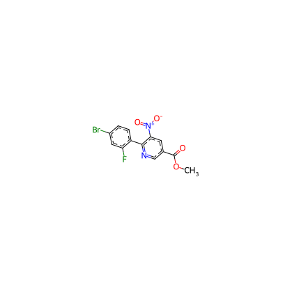 COC(=O)c1cnc(-c2ccc(Br)cc2F)c([N+](=O)[O-])c1